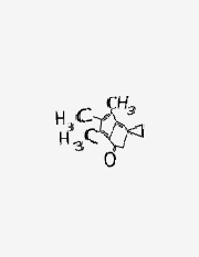 CC1=C(C)C(C)=C2C(=O)CC3(C=C12)CC3